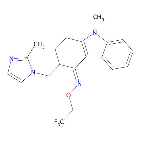 Cc1nccn1CC1CCc2c(c3ccccc3n2C)/C1=N/OCC(F)(F)F